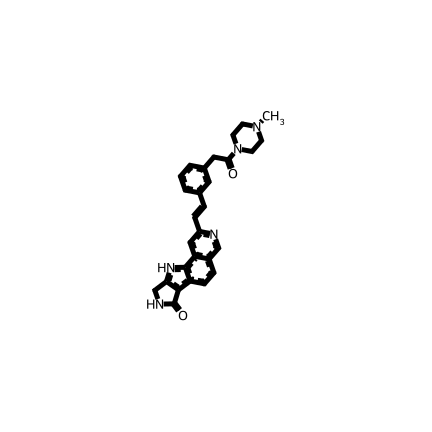 CN1CCN(C(=O)Cc2cccc(C=Cc3cc4c(ccc5c6c([nH]c54)CNC6=O)cn3)c2)CC1